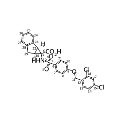 O=C(O)C1(NS(=O)(=O)c2ccc(OCc3ccc(Cl)cc3Cl)cc2)[C@@H]2c3ccccc3C[C@@H]21